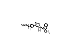 COC(=O)c1ccc(-c2cc(NCCn3c(C)cc4ccccc43)ncn2)cc1F